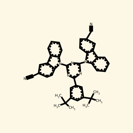 CC(C)(C)c1cc(-c2nc(-n3c4ccccc4c4cc(C#N)ccc43)nc(-n3c4ccccc4c4cc(C#N)ccc43)n2)cc(C(C)(C)C)c1